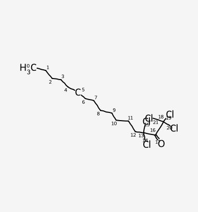 CCCCCCCCCCCCCC(Cl)(Cl)C(=O)C(Cl)(Cl)Cl